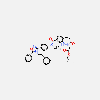 CCOC(=O)CN1Nc2cc(C(=O)N(C)c3ccc(C4=NOC(c5ccccc5)N4CCc4ccccc4)cc3)ccc2CCC1=O